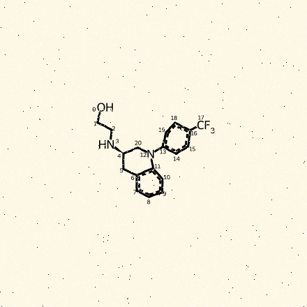 OCCN[C@@H]1Cc2ccccc2N(c2ccc(C(F)(F)F)cc2)C1